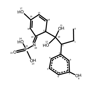 CCC(c1cccc(O)c1)C(O)(O)C1C=CC(O)=CC1=NP(=O)(O)O